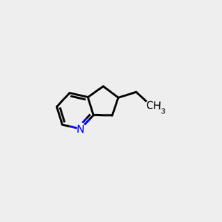 CCC1Cc2cccnc2C1